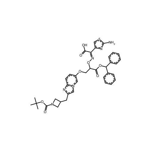 CC(C)(C)OC(=O)N1CC(Cc2cn3cc(OCC(O/N=C(\C(=O)O)c4csc(N)n4)C(=O)OC(c4ccccc4)c4ccccc4)ccc3n2)C1